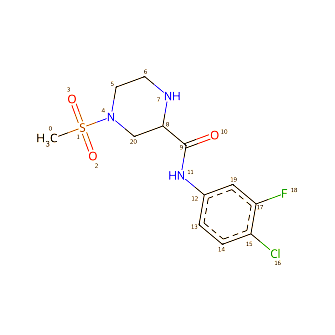 CS(=O)(=O)N1CCNC(C(=O)Nc2ccc(Cl)c(F)c2)C1